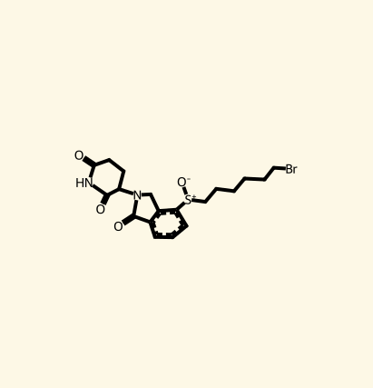 O=C1CCC(N2Cc3c(cccc3[S+]([O-])CCCCCCBr)C2=O)C(=O)N1